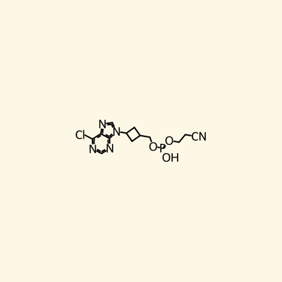 N#CCCOP(O)OCC1CC(n2cnc3c(Cl)ncnc32)C1